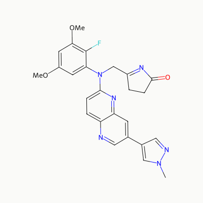 COc1cc(OC)c(F)c(N(CC2=NC(=O)CC2)c2ccc3ncc(-c4cnn(C)c4)cc3n2)c1